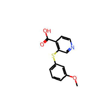 COc1cccc(Sc2cnccc2C(=O)O)c1